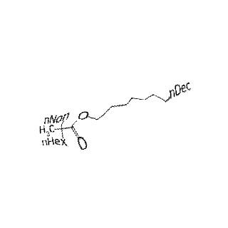 CCCCCCCCCCCCCCCCCOC(=O)C(C)(CCCCCC)CCCCCCCCC